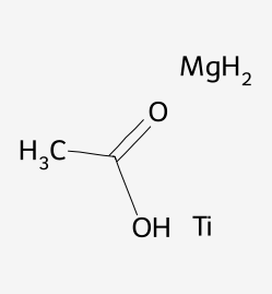 CC(=O)O.[MgH2].[Ti]